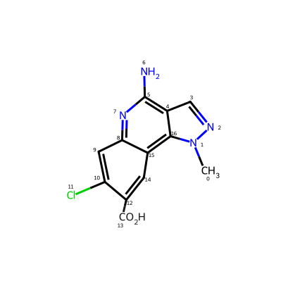 Cn1ncc2c(N)nc3cc(Cl)c(C(=O)O)cc3c21